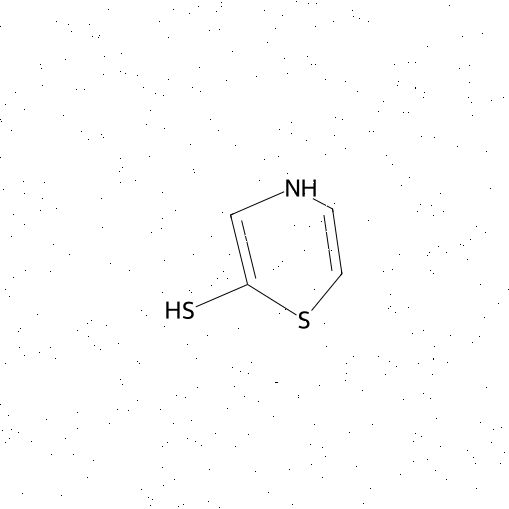 SC1=CNC=CS1